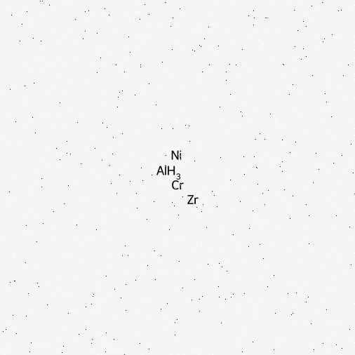 [AlH3].[Cr].[Ni].[Zr]